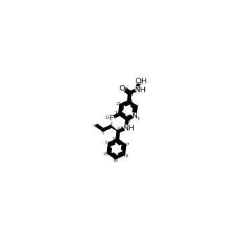 CCC[C@@H](Nc1ncc(C(=O)NO)cc1F)c1ccccc1